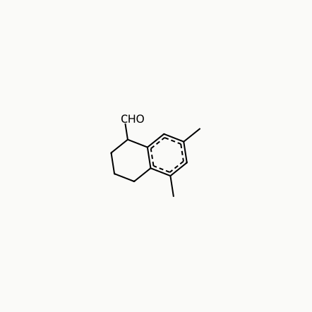 Cc1cc(C)c2c(c1)C(C=O)CCC2